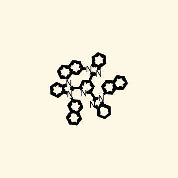 C1=c2nc(-c3cc(-c4nc5ccccc5n4-c4ccc5ccccc5c4)cc(-c4nc5ccccc5n4-c4ccc5ccccc5c4)n3)n(-c3ccc4ccccc4c3)c2=CCC1